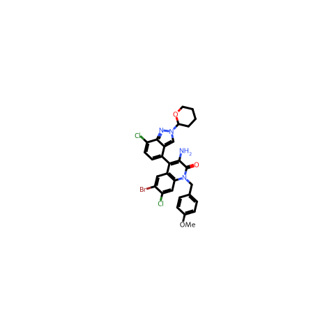 COc1ccc(Cn2c(=O)c(N)c(-c3ccc(Cl)c4nn(C5CCCCO5)cc34)c3cc(Br)c(Cl)cc32)cc1